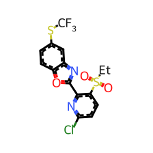 CCS(=O)(=O)c1ccc(Cl)nc1-c1nc2cc(SC(F)(F)F)ccc2o1